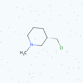 CN1CCC[C@H](CCl)C1